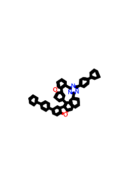 c1ccc(-c2ccc(-c3ccc4oc5cccc(-c6ccc7oc8cccc(-c9nc(-c%10ccccc%10)nc(-c%10ccc(-c%11ccccc%11)cc%10)n9)c8c7c6)c5c4c3)cc2)cc1